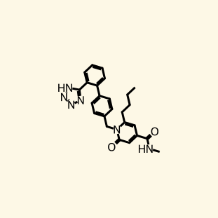 CCCCc1cc(C(=O)NC)cc(=O)n1Cc1ccc(-c2ccccc2-c2nnn[nH]2)cc1